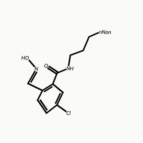 CCCCCCCCCCCCNC(=O)c1cc(Cl)ccc1/C=N/O